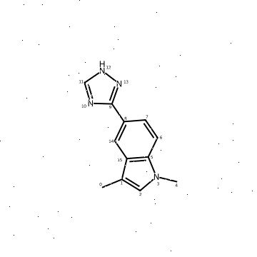 Cc1cn(C)c2ccc(-c3nc[nH]n3)cc12